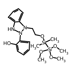 CO[Si](OC)(OC)[Si](C)(C)OCCN1c2ccccc2NN1c1ccccc1O